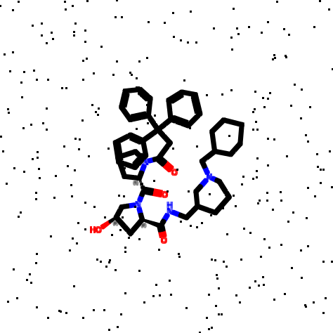 O=C(NCC1CCCN(CC2CCCCC2)C1)[C@H]1C[C@@H](O)CN1C(=O)[C@@H]1CCCN1C(=O)CC(c1ccccc1)(c1ccccc1)c1ccccc1